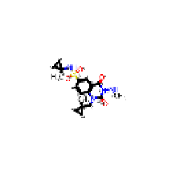 CNn1c(=O)c2cc(S(=O)(=O)NC3(C)CC3)ccc2n(CC2(C)CC2)c1=O